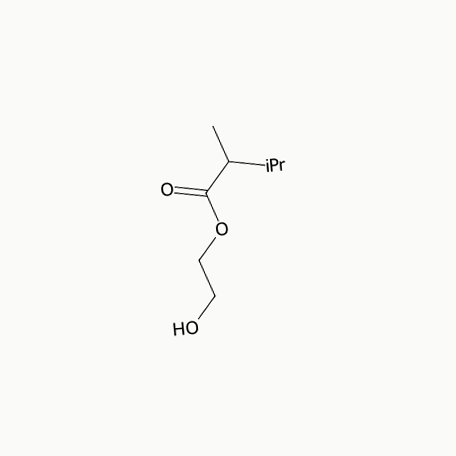 CC(C)C(C)C(=O)OCCO